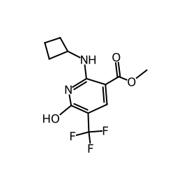 COC(=O)c1cc(C(F)(F)F)c(O)nc1NC1CCC1